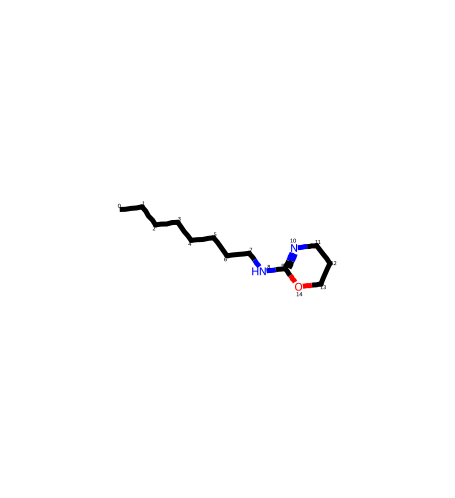 CCCCCCCCNC1=NCCCO1